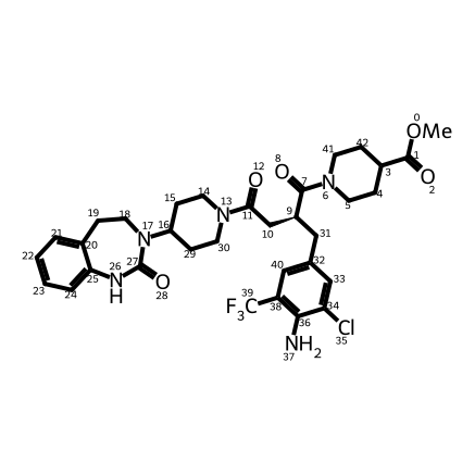 COC(=O)C1CCN(C(=O)[C@H](CC(=O)N2CCC(N3CCc4ccccc4NC3=O)CC2)Cc2cc(Cl)c(N)c(C(F)(F)F)c2)CC1